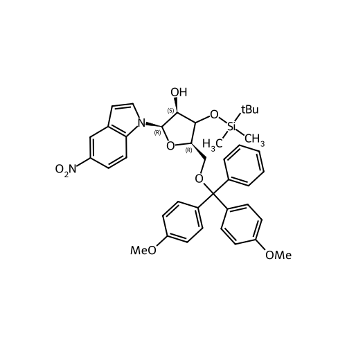 COc1ccc(C(OC[C@H]2O[C@@H](n3ccc4cc([N+](=O)[O-])ccc43)[C@@H](O)C2O[Si](C)(C)C(C)(C)C)(c2ccccc2)c2ccc(OC)cc2)cc1